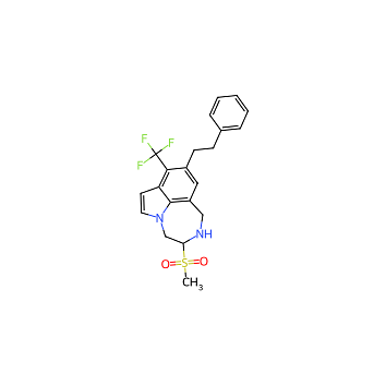 CS(=O)(=O)C1Cn2ccc3c(C(F)(F)F)c(CCc4ccccc4)cc(c32)CN1